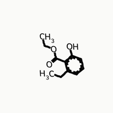 CCOC(=O)c1c(O)cccc1CC